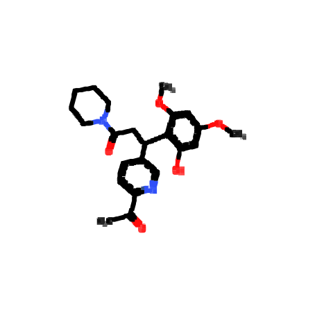 COc1cc(O)c(C(CC(=O)N2CCCCC2)c2ccc(C(C)=O)nc2)c(OC)c1